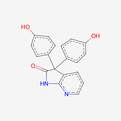 O=C1Nc2ncccc2C1(c1ccc(O)cc1)c1ccc(O)cc1